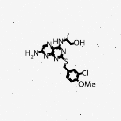 COc1ccc(CSc2nc(N[C@H](C)CO)c3ncc(N)nc3n2)cc1Cl